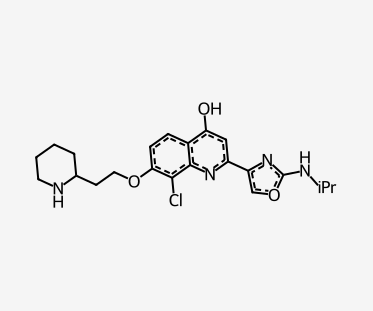 CC(C)Nc1nc(-c2cc(O)c3ccc(OCCC4CCCCN4)c(Cl)c3n2)co1